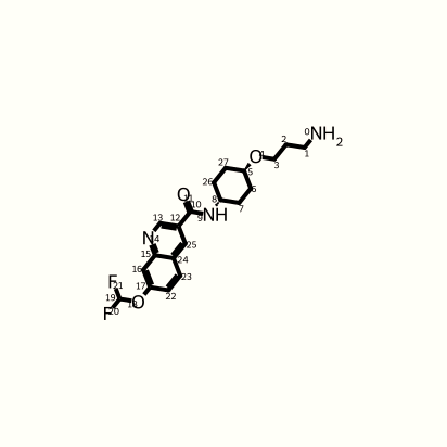 NCCCO[C@H]1CC[C@H](NC(=O)c2cnc3cc(OC(F)F)ccc3c2)CC1